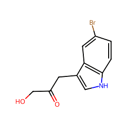 O=C(CO)Cc1c[nH]c2ccc(Br)cc12